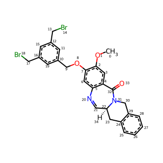 COc1cc2c(cc1OCc1cc(CBr)cc(CBr)c1)N=C[C@@H]1Cc3ccccc3CN1C2=O